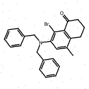 Cc1cc(N(Cc2ccccc2)Cc2ccccc2)c(Br)c2c1CCCC2=O